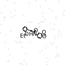 CCOc1ccccc1C#CC(=O)Nc1ccc2c(c1)OCO2